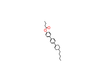 CCCCCC1CC=C(c2ccc(-c3ccc(OC(=O)CCC)cc3)cc2)CC1